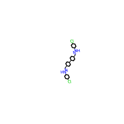 Clc1ccc(N/N=C/c2ccc(-c3ccc(/C=N/Nc4ccc(Cl)cc4)cc3)cc2)cc1